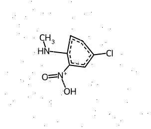 CNc1ccc(Cl)cc1[N+](=O)O